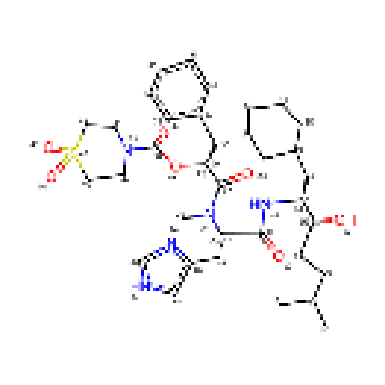 CC(C)CC[C@H](O)[C@H](CC1CCCCC1)NC(=O)[C@H](Cc1c[nH]cn1)N(C)C(=O)[C@H](Cc1ccccc1)OC(=O)N1CCS(=O)(=O)CC1